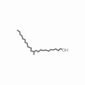 CCCCCCCCCCCC(C)CCCCCCCCCCCO